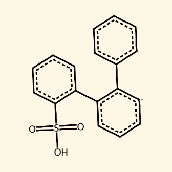 O=S(=O)(O)c1ccccc1-c1ccc[c]c1-c1ccccc1